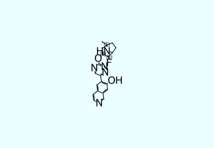 C[C@@]12CCC(N1)[C@@H](F)[C@@H](Oc1ncc(-c3cc4ccncc4cc3O)nn1)C2